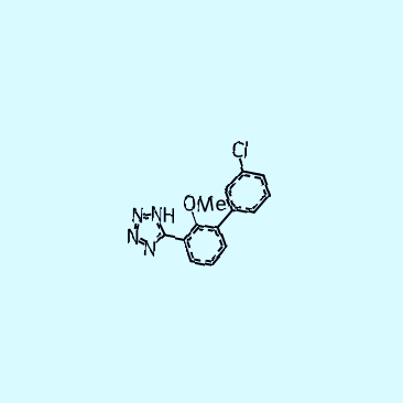 COc1c(-c2cccc(Cl)c2)cccc1-c1nnn[nH]1